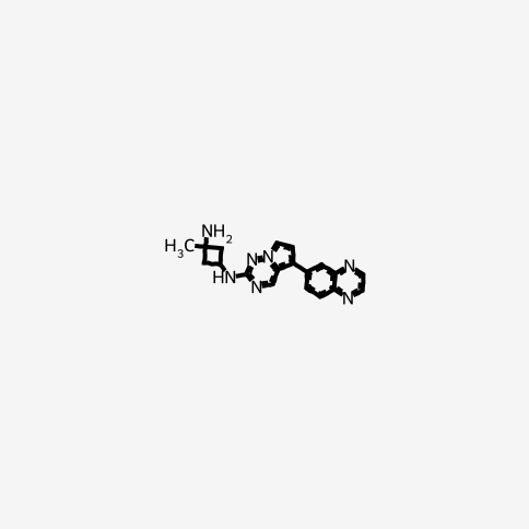 CC1(N)CC(Nc2ncc3c(-c4ccc5nccnc5c4)ccn3n2)C1